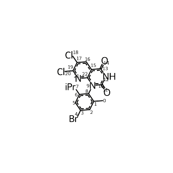 Cc1cc(Br)cc(C(C)C)c1-n1c(=O)[nH]c(=O)c2cc(Cl)c(Cl)nc21